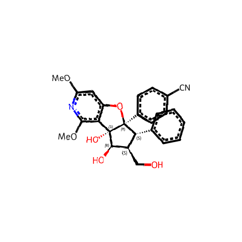 COc1cc2c(c(OC)n1)[C@]1(O)[C@H](O)[C@H](CO)[C@@H](c3ccccc3)[C@]1(c1ccc(C#N)cc1)O2